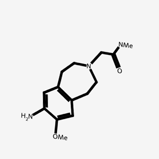 CNC(=O)CN1CCc2cc(N)c(OC)cc2CC1